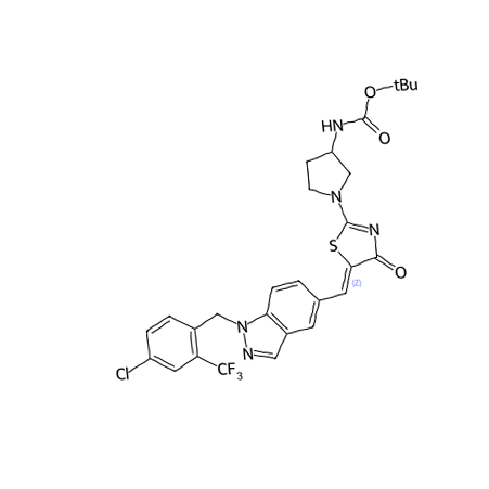 CC(C)(C)OC(=O)NC1CCN(C2=NC(=O)/C(=C/c3ccc4c(cnn4Cc4ccc(Cl)cc4C(F)(F)F)c3)S2)C1